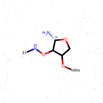 CCNOC1C(ONC)CO[C@H]1N